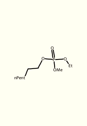 CCCCCCCOP(=O)(OC)OCC